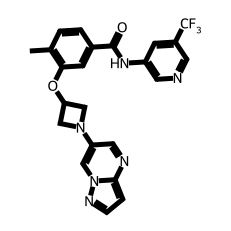 Cc1ccc(C(=O)Nc2cncc(C(F)(F)F)c2)cc1OC1CN(c2cnc3ccnn3c2)C1